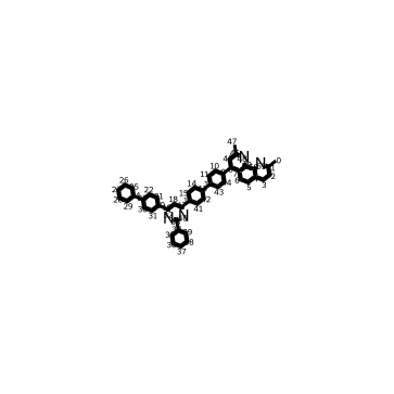 Cc1ccc2ccc3c(-c4ccc(-c5ccc(-c6cc(-c7ccc(-c8ccccc8)cc7)nc(-c7ccccc7)n6)cc5)cc4)cc(C)nc3c2n1